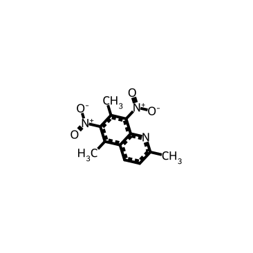 Cc1ccc2c(C)c([N+](=O)[O-])c(C)c([N+](=O)[O-])c2n1